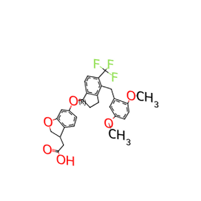 COc1ccc(OC)c(Cc2c(C(F)(F)F)ccc3c2CC[C@H]3Oc2ccc3c(c2)OCC3CC(=O)O)c1